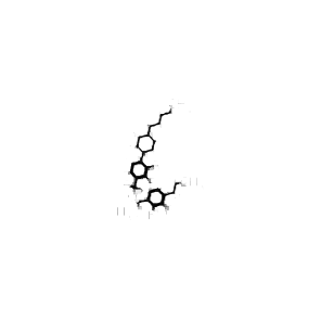 CCCCCC1CCC(c2ccc(C(F)(F)OC(C)c3ccc(CCC)c(F)c3F)c(F)c2F)CC1